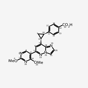 COc1ncc(-c2cc([C@H]3C[C@H]3c3ccc(C(=O)O)cc3)c3nccn3n2)c(OC)n1